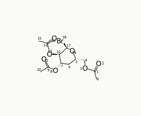 CC(=O)OC[C@@H]1C[C@H](OC(C)=O)[C@@H](OC(C)=O)[C@@H](Br)O1